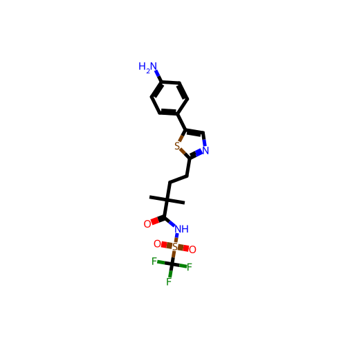 CC(C)(CCc1ncc(-c2ccc(N)cc2)s1)C(=O)NS(=O)(=O)C(F)(F)F